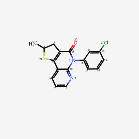 CC1Cc2c(c3cccnc3n(-c3cccc(Cl)c3)c2=O)S1